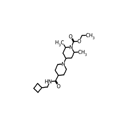 CCOC(=O)N1C(C)CC(N2CCC(C(=O)NCC3CCC3)CC2)CC1C